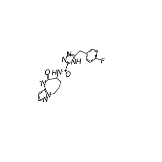 CN1C(=O)[C@@H](NC(=O)c2nnc(Cc3ccc(F)cc3)[nH]2)CCCn2nccc21